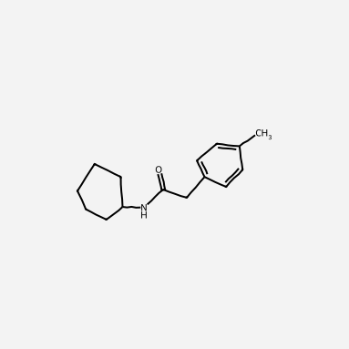 Cc1ccc(CC(=O)NC2CCCCC2)cc1